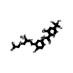 N/C(COCC(F)F)=N/CC1CC(NC(=O)c2ncc(C(F)(F)F)cc2Cl)=CC=C1F